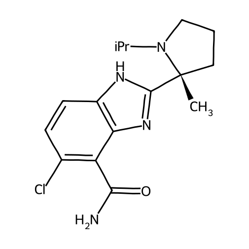 CC(C)N1CCC[C@]1(C)c1nc2c(C(N)=O)c(Cl)ccc2[nH]1